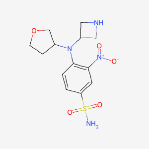 NS(=O)(=O)c1ccc(N(C2CNC2)C2CCOC2)c([N+](=O)[O-])c1